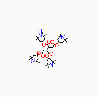 CN1C(C)(C)CC(OC(=O)CC(C(=O)OC2CC(C)(C)NC(C)(C)C2)C(CC(=O)OC2CC(C)(C)N(C)C(C)(C)C2)C(=O)OC2CC(C)(C)N(C)C(C)(C)C2)CC1(C)C